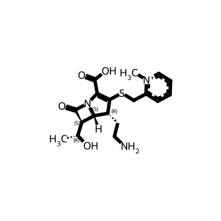 C[C@@H](O)[C@H]1C(=O)N2C(C(=O)O)=C(SCc3cccc[n+]3C)[C@H](CCN)[C@H]12